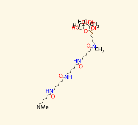 CNCCCCCC(=O)NCCCCCC(=O)NCCCCCC(=O)NCCCCCC(=O)N(C)CCCCSC1OC(CO)C(C)(O)C(C)(O)C1(C)O